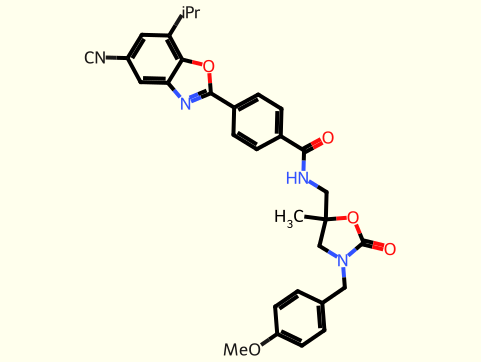 [C-]#[N+]c1cc(C(C)C)c2oc(-c3ccc(C(=O)NCC4(C)CN(Cc5ccc(OC)cc5)C(=O)O4)cc3)nc2c1